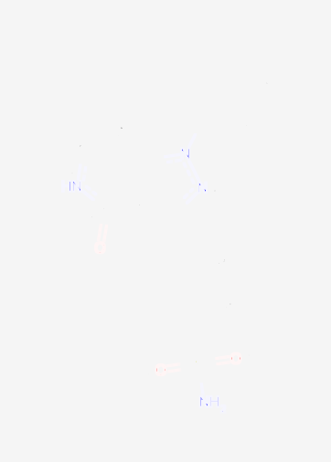 NS(=O)(=O)c1ccc(-c2nn(C3CCCCC3)c3cc[nH]c(=O)c23)cc1